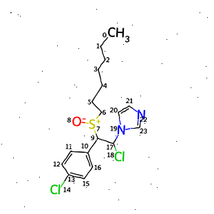 CCCCCCC[S+]([O-])C(c1ccc(Cl)cc1)C(Cl)n1ccnc1